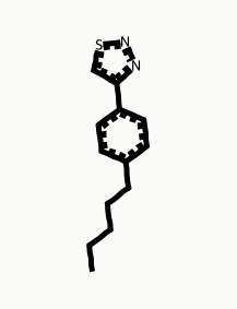 CCCCCc1ccc(-c2csnn2)cc1